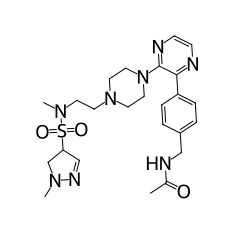 CC(=O)NCc1ccc(-c2nccnc2N2CCN(CCN(C)S(=O)(=O)C3C=NN(C)C3)CC2)cc1